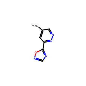 COc1cnnc(-c2ncno2)c1